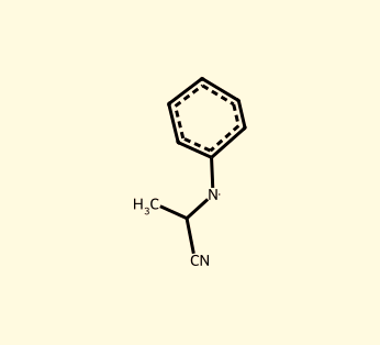 CC(C#N)[N]c1ccccc1